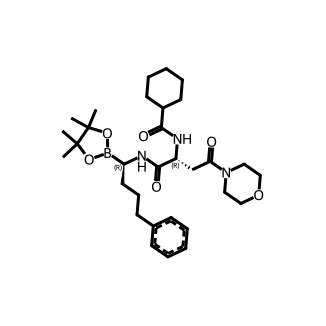 CC1(C)OB([C@H](CCCc2ccccc2)NC(=O)[C@@H](CC(=O)N2CCOCC2)NC(=O)C2CCCCC2)OC1(C)C